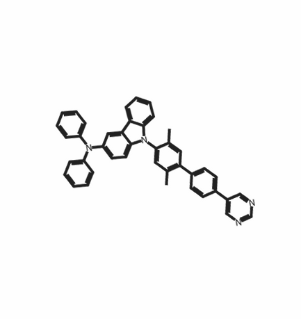 Cc1cc(-n2c3ccccc3c3cc(N(c4ccccc4)c4ccccc4)ccc32)c(C)cc1-c1ccc(-c2cncnc2)cc1